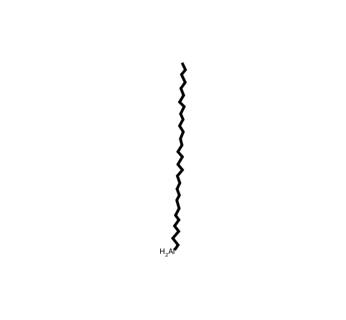 CCCCCCCCCCCCCCCCCCCCCCCCCCCCC[CH2][AlH2]